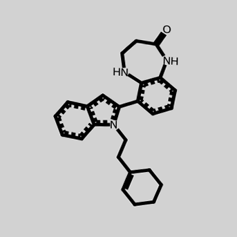 O=C1CCNc2c(cccc2-c2cc3ccccc3n2CCC2=CCCCC2)N1